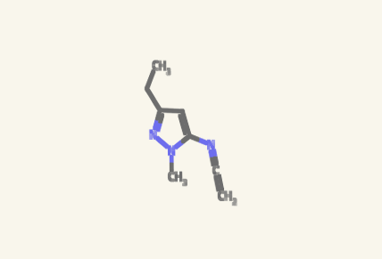 C=C=Nc1cc(CC)nn1C